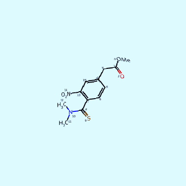 COC(=O)Cc1ccc(C(=S)N(C)C)c([N+](=O)[O-])c1